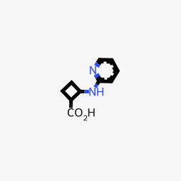 O=C(O)C1CCC1Nc1ccccn1